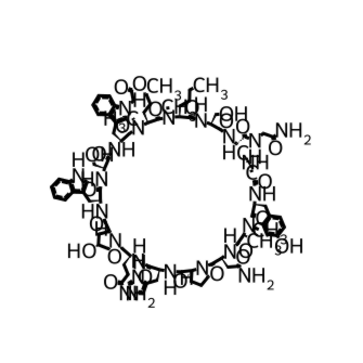 CCCC[C@H]1C(=O)N(C)[C@@H](CCCC)C(=O)N[C@@H](CO)C(=O)N[C@H](C(=O)NCC(N)=O)CNCC(=O)N[C@@H](Cc2ccc(O)cc2)C(=O)N(C)[C@@H](C)C(=O)N[C@@H](CC(N)=O)C(=O)N2CCC[C@H]2C(=O)N[C@@H](Cc2cnc[nH]2)C(=O)N[C@@H](CCC(N)=O)C(=O)N2C[C@H](O)C[C@H]2C(=O)N[C@@H](Cc2c[nH]c3ccccc23)C(=O)N[C@@H](CO)C(=O)N[C@@H](Cc2cn(CC(=O)O)c3ccccc23)C(=O)N1C